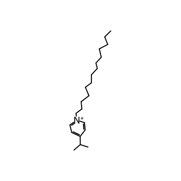 CCCCCCCCCCCCCC[n+]1ccc(C(C)C)cc1